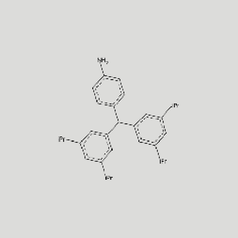 CC(C)c1cc(C(C)C)cc(C(c2ccc(N)cc2)c2cc(C(C)C)cc(C(C)C)c2)c1